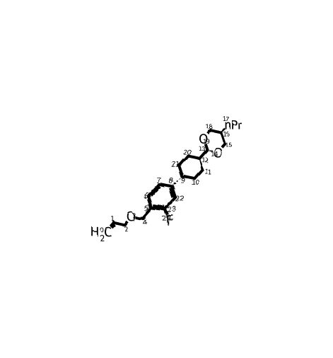 C=CCOCc1ccc([C@H]2CC[C@H]([C@H]3OC[C@H](CCC)CO3)CC2)cc1F